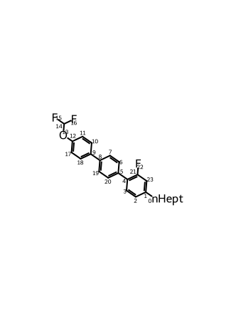 CCCCCCCc1ccc(-c2ccc(-c3ccc(OC(F)F)cc3)cc2)c(F)c1